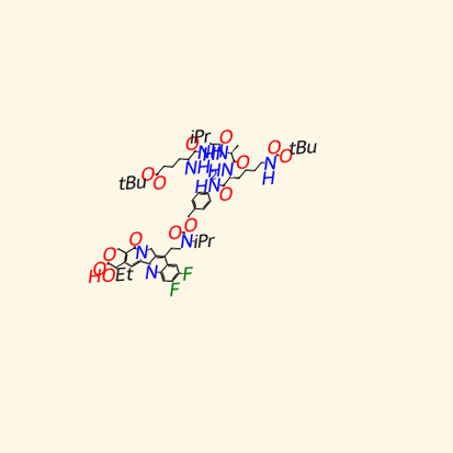 CC[C@@]1(O)C(=O)OCc2c1cc1n(c2=O)Cc2c-1nc1cc(F)c(F)cc1c2CCN(C(=O)OCc1ccc(NC(=O)[C@H](CCCCNC(=O)OC(C)(C)C)NC(=O)[C@H](C)NC(=O)[C@@H](NC(=O)[C@@H](N)CCCC(=O)OC(C)(C)C)C(C)C)cc1)C(C)C